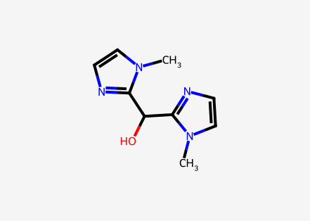 Cn1ccnc1C(O)c1nccn1C